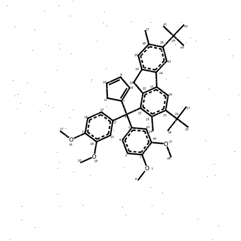 COc1ccc(C(C2=CC=CC2)(c2ccc(OC)c(OC)c2)c2c(C)c(C(C)(C)C)cc3c2Cc2cc(C)c(C(C)(C)C)cc2-3)cc1OC